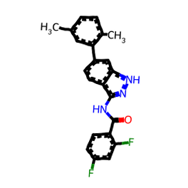 Cc1ccc(C)c(-c2ccc3c(NC(=O)c4ccc(F)cc4F)n[nH]c3c2)c1